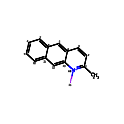 Cc1ccc2cc3ccccc3cc2[n+]1I